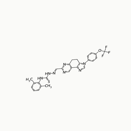 Cc1cccc(C)c1NC(=S)N/N=C/c1ncc2c(n1)CCc1c-2ncn1-c1ccc(OC(F)(F)F)cc1